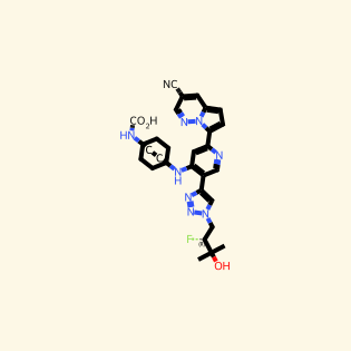 CC(C)(O)[C@H](F)Cn1cc(-c2cnc(-c3ccc4cc(C#N)cnn34)cc2NC23CCC(NC(=O)O)(CC2)CC3)nn1